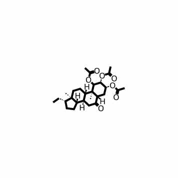 CC[C@H]1CC[C@H]2[C@@H]3CC(=O)[C@H]4C[C@@H](OC(C)=O)[C@@H](OC(C)=O)C(OC(C)=O)[C@]4(C)[C@H]3CC[C@]12C